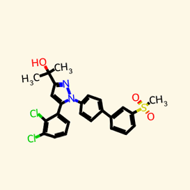 CC(C)(O)c1cc(-c2cccc(Cl)c2Cl)n(-c2ccc(-c3cccc(S(C)(=O)=O)c3)cc2)n1